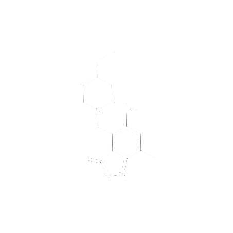 CCOC1CCN(Cc2c(OC)cc(C)c3[nH][nH]c(=O)c23)CC1